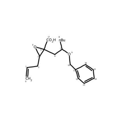 C=CCC1OC1(CC(CCCC)OCc1ccccc1)C(=O)O